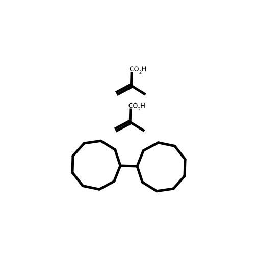 C1CCCCC(C2CCCCCCCC2)CCC1.C=C(C)C(=O)O.C=C(C)C(=O)O